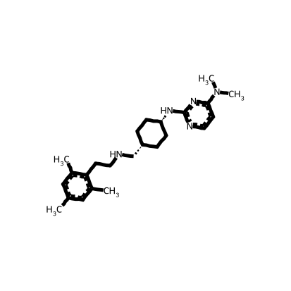 Cc1cc(C)c(CCNC[C@H]2CC[C@@H](Nc3nccc(N(C)C)n3)CC2)c(C)c1